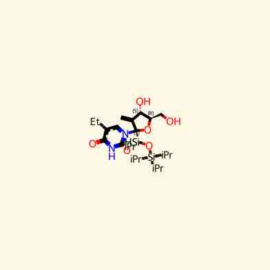 C=C1[C@H](O)[C@@H](CO)O[C@]1(n1cc(CC)c(=O)[nH]c1=O)[SiH](O[Si](C(C)C)(C(C)C)C(C)C)C(C)C